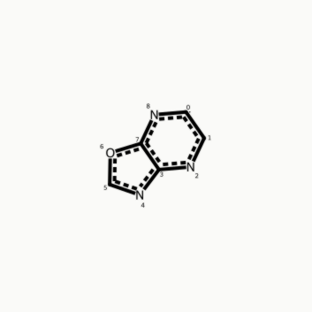 [c]1cnc2ncoc2n1